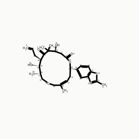 C=CC[C@H]1C(=O)C(C)(C)[C@@H](O)CC(=O)O[C@H](c2ccc3sc(C)nc3c2)CC=C(C)CCC[C@H](C)[C@@H]1O